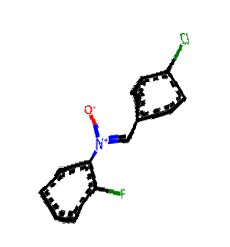 [O-][N+](=Cc1ccc(Cl)cc1)c1ccccc1F